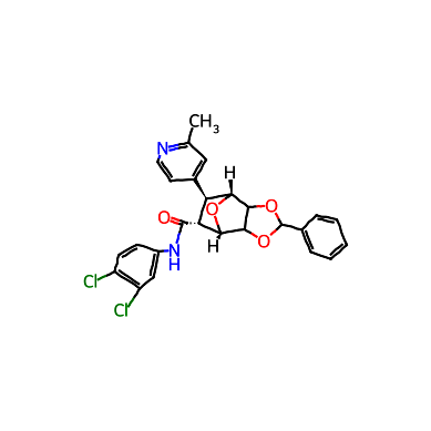 Cc1cc([C@@H]2[C@@H](C(=O)Nc3ccc(Cl)c(Cl)c3)[C@@H]3O[C@H]2C2OC(c4ccccc4)OC23)ccn1